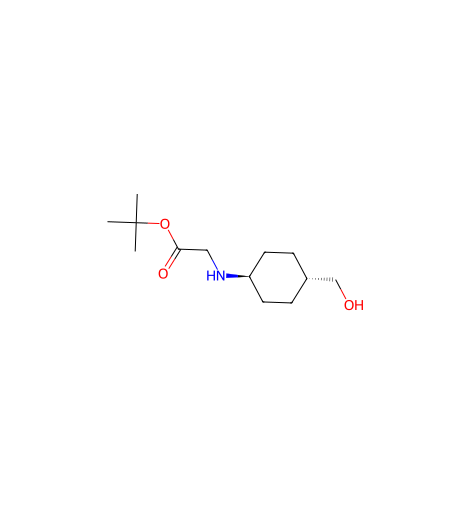 CC(C)(C)OC(=O)CN[C@H]1CC[C@H](CO)CC1